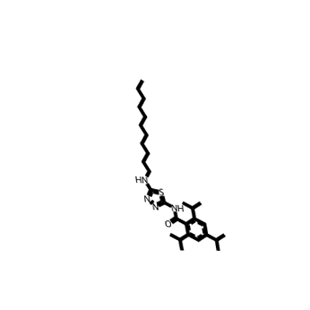 CCCCCCCCCCCNc1nnc(NC(=O)c2c(C(C)C)cc(C(C)C)cc2C(C)C)s1